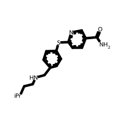 CC(C)CCNCc1ccc(Sc2ccc(C(N)=O)cn2)cc1